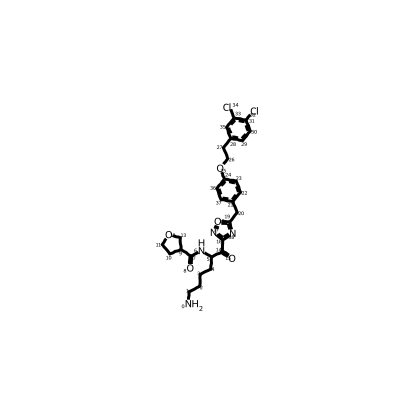 NCCCCC(NC(=O)C1CCOC1)C(=O)c1noc(Cc2ccc(OCCc3ccc(Cl)c(Cl)c3)cc2)n1